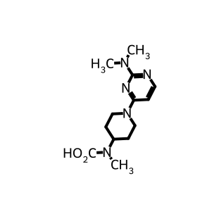 CN(C)c1nccc(N2CCC(N(C)C(=O)O)CC2)n1